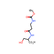 CC(C)(C)OC(=O)NCCC(=O)NC(CO)C(=O)O